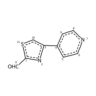 O=Cc1nc(-c2ccncc2)cs1